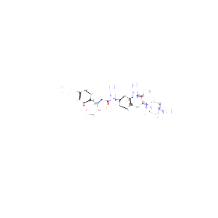 O=C(/C=C1\CCCOc2cc(C(F)(F)F)ccc21)Nc1ccc2c(c1)NC(=O)C(N1CCNCC1)C2